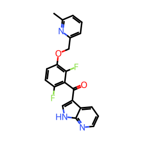 Cc1cccc(COc2ccc(F)c(C(=O)c3c[nH]c4ncccc34)c2F)n1